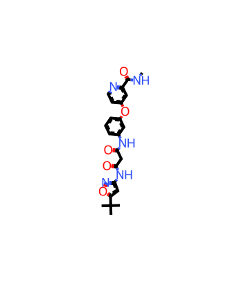 CNC(=O)c1cc(Oc2cccc(NC(=O)CC(=O)Nc3cc(C(C)(C)C)on3)c2)ccn1